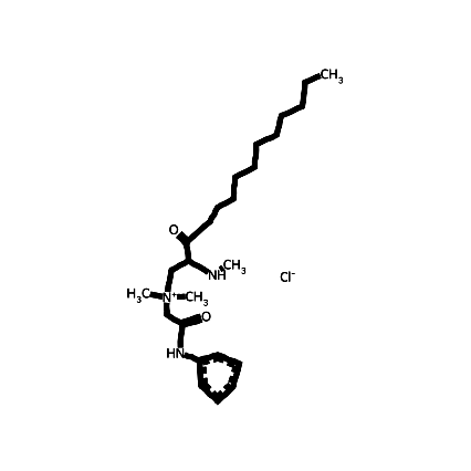 CCCCCCCCCCCC(=O)C(C[N+](C)(C)CC(=O)Nc1ccccc1)NC.[Cl-]